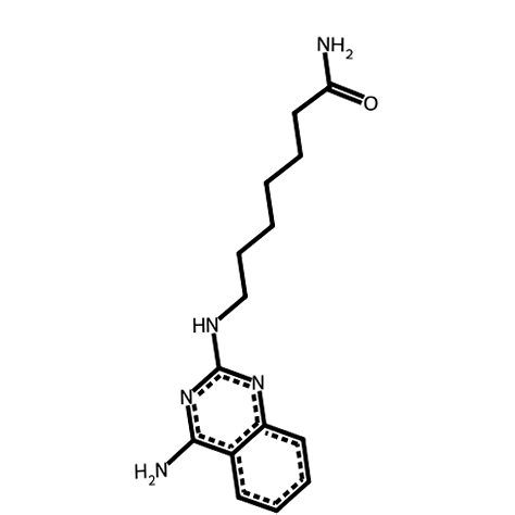 NC(=O)CCCCCCNc1nc(N)c2ccccc2n1